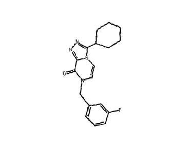 O=c1c2nnc(C3CCCCC3)n2ccn1Cc1cccc(F)c1